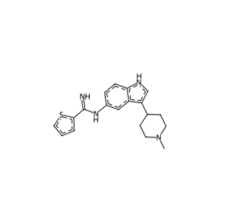 CN1CCC(c2c[nH]c3ccc(NC(=N)c4cccs4)cc23)CC1